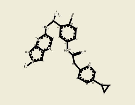 CCn1cc2ncc(N[C@@H](C)c3cc(NC(=O)Cc4ccc(C5CC5)cn4)ccc3F)nc2n1